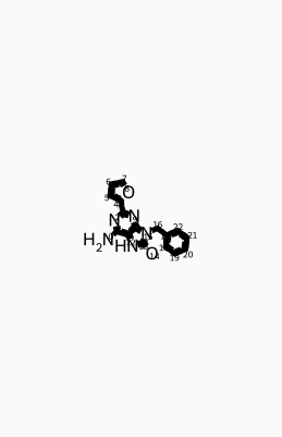 Nc1nc(-c2ccco2)nc2c1[nH]c(=O)n2Cc1ccccc1